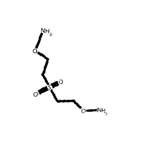 NOCCS(=O)(=O)CCON